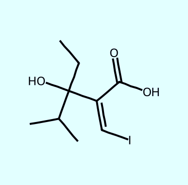 CCC(O)(C(=CI)C(=O)O)C(C)C